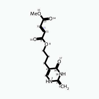 C=C1NC=C(CCCOC(=O)/C=C/C(=O)OC)C(=O)N1